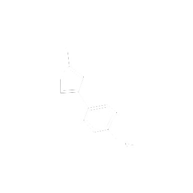 COc1ccc(-c2csc([C]=O)c2)cc1